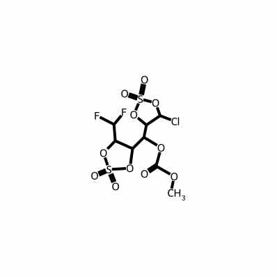 COC(=O)OC(C1OS(=O)(=O)OC1Cl)C1OS(=O)(=O)OC1C(F)F